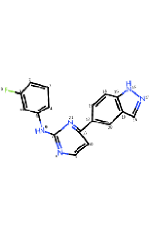 Fc1cccc(Nc2nccc(-c3ccc4[nH]ncc4c3)n2)c1